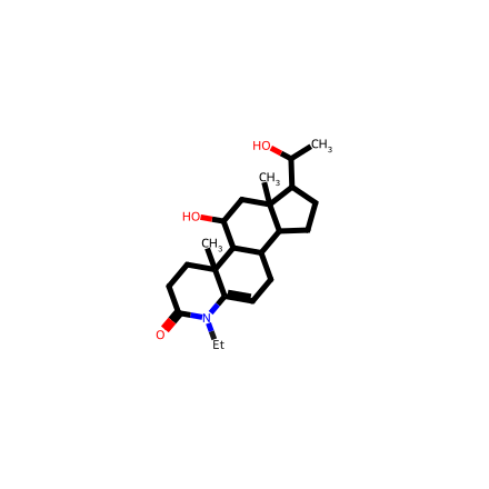 CCN1C(=O)CCC2(C)C1=CCC1C2C(O)CC2(C)C(C(C)O)CCC12